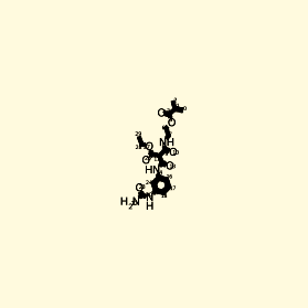 C=C(C)C(=O)OCCNC(=O)C(C(=O)Nc1cccc(NC(N)=O)c1)C(=O)OCC